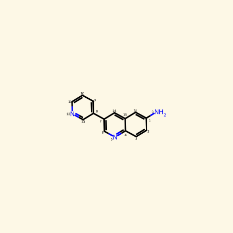 Nc1ccc2ncc(-c3cccnc3)cc2c1